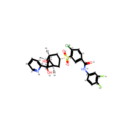 C[C@H]1C[C@@H]2C[C@@H](S(=O)(=O)c3cc(C(=O)Nc4ccc(F)c(F)c4)ccc3Cl)C[C@H]1[C@@]2(O)C(O)c1ccccn1